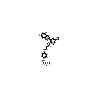 O=C(O)COc1ccc(OCCCOc2ncc(Cl)cc2-n2nc3ccccc3n2)cc1